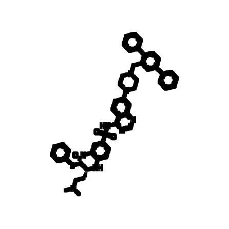 CN(C)CC[C@H](CSc1ccccc1)Nc1ccc(S(=O)(=O)Nc2ncnc3cc(N4CCN(Cc5cc(-c6ccccc6)ccc5-c5ccccc5)CC4)ccc23)cc1[N+](=O)[O-]